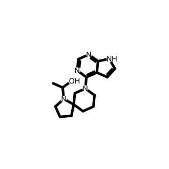 CC(O)N1CCCC12CCCN(c1ncnc3[nH]ccc13)C2